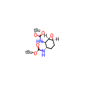 CC(C)(C)OC(=O)N[C@H]1[C@H]2O[C@H]2CC[C@@H]1NC(=O)OC(C)(C)C